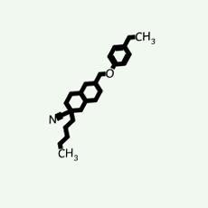 CCCCCC1(C#N)CCC2CC(COc3ccc(CC)cc3)CCC2C1